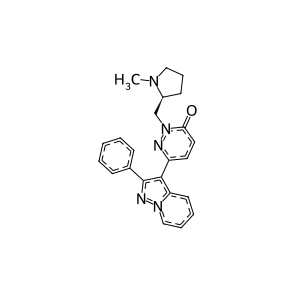 CN1CCC[C@H]1Cn1nc(-c2c(-c3ccccc3)nn3ccccc23)ccc1=O